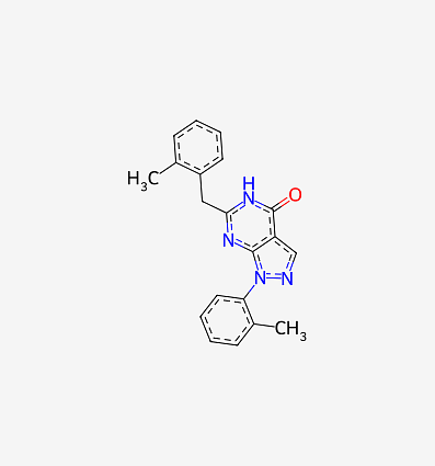 Cc1ccccc1Cc1nc2c(cnn2-c2ccccc2C)c(=O)[nH]1